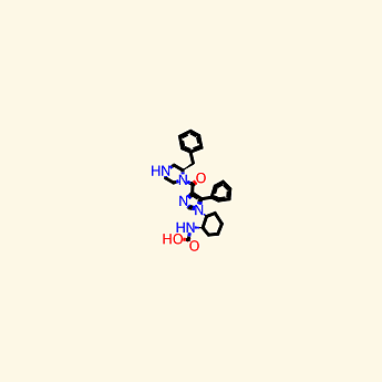 O=C(O)N[C@@H]1CCCC[C@H]1n1cnc(C(=O)N2CCNC[C@H]2Cc2ccccc2)c1-c1ccccc1